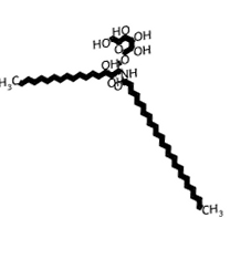 CCCCCCCCCCCCCCCCCCCCCCCCCC(=O)N[C@@H](CO[C@H]1OC(CO)[C@H](O)C(O)C1O)[C@H](O)[C@H](O)CCCCCCCCCCCCCC